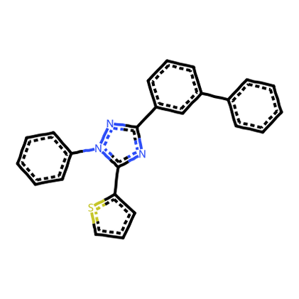 c1ccc(-c2cccc(-c3nc(-c4cccs4)n(-c4ccccc4)n3)c2)cc1